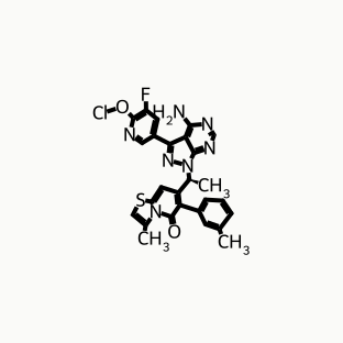 Cc1cccc(-c2c([C@H](C)n3nc(-c4cnc(OCl)c(F)c4)c4c(N)ncnc43)cc3scc(C)n3c2=O)c1